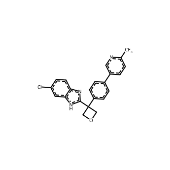 FC(F)(F)c1ccc(-c2ccc(C3(c4nc5ccc(Cl)cc5[nH]4)COC3)cc2)cn1